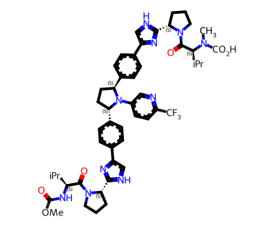 COC(=O)N[C@H](C(=O)N1CCC[C@H]1c1nc(-c2ccc([C@@H]3CC[C@@H](c4ccc(-c5c[nH]c([C@@H]6CCCN6C(=O)[C@H](C(C)C)N(C)C(=O)O)n5)cc4)N3c3ccc(C(F)(F)F)nc3)cc2)c[nH]1)C(C)C